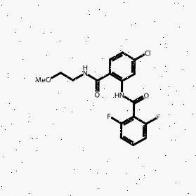 COCCNC(=O)c1ccc(Cl)cc1NC(=O)c1c(F)cccc1F